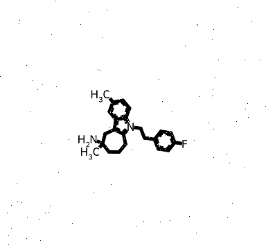 Cc1ccc2c(c1)c1c(n2CCc2ccc(F)cc2)CCCC(C)(N)C1